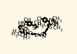 Cc1ncsc1-c1ccc([C@H](C)NC(=O)[C@@H]2CCCN2C(=O)[C@@H](NC(=O)COCCOCCn2cc(C#Cc3sc4c(c3C)C(c3ccc(Cl)cc3)=N[C@@H](C)c3nnc(C)n3-4)cn2)C(C)(C)C)cc1